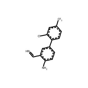 N=Cc1cc(-c2ccc(C(F)(F)F)cc2Cl)ccc1N